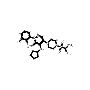 CC(C)S(=O)(=O)N1CCN(c2cnn(-c3cccc(Cl)c3F)c(=O)c2OC2CCCC2)CC1